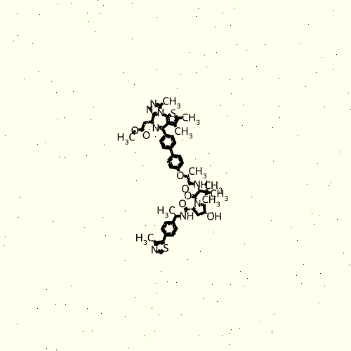 COC(=O)CC1N=C(c2ccc(-c3ccc(O[C@H](C)C(=O)N[C@H](C(=O)N4C[C@H](O)C[C@H]4C(=O)N[C@@H](C)c4ccc(-c5scnc5C)cc4)C(C)(C)C)cc3)cc2)c2c(sc(C)c2C)-n2c(C)nnc21